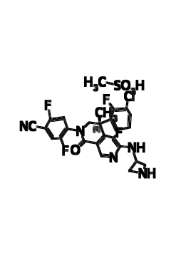 CS(=O)(=O)O.C[C@]1(c2cccc(Cl)c2F)CN(c2cc(F)c(C#N)cc2F)C(=O)c2cnc(NC3CNC3)c(F)c21